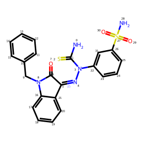 NC(=S)N(/N=C1\C(=O)N(Cc2ccccc2)c2ccccc21)c1cccc(S(N)(=O)=O)c1